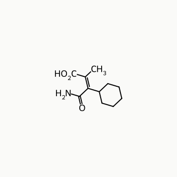 CC(C(=O)O)=C(C(N)=O)C1CCCCC1